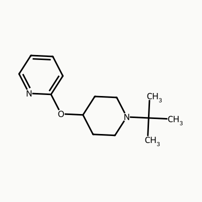 CC(C)(C)N1CCC(Oc2ccccn2)CC1